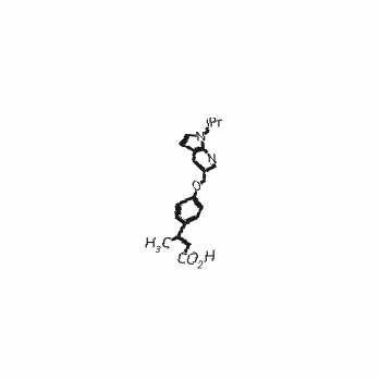 CC(C)Cn1ccc2cc(COc3ccc(C(C)CC(=O)O)cc3)cnc21